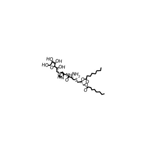 CCCCCCCC(=O)OC[C@H](CSC[C@@H](N)C(=O)Nc1cn(C[C@H](O)C2OC(O)[C@@H](O)[C@@H]2O)nn1)OC(=O)CCCCCCC